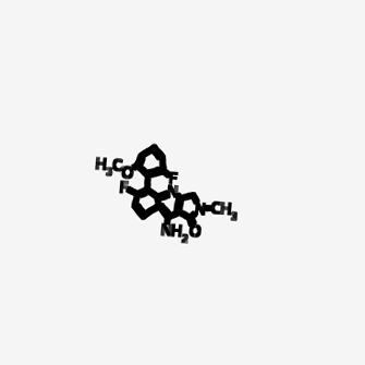 COc1cccc(F)c1-c1c(F)ccc2c(N)c3c(nc12)CN(C)C3=O